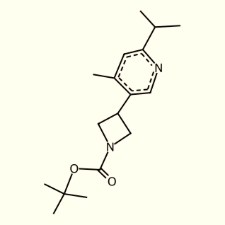 Cc1cc(C(C)C)ncc1C1CN(C(=O)OC(C)(C)C)C1